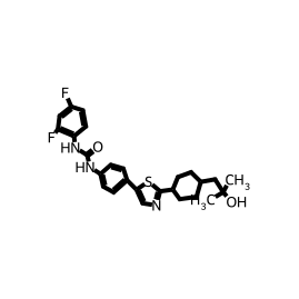 CC(C)(O)CC1CCC(c2ncc(-c3ccc(NC(=O)Nc4ccc(F)cc4F)cc3)s2)CC1